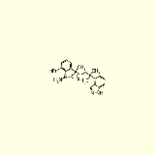 CCCc1cccc(C(C)(C)CCC(C)(C)c2cccc3[nH]ncc23)c1NN